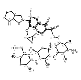 COc1c(N2CC3CCCNC3C2)c(F)cc2c(=O)c(C(=O)OC[C@H]3O[C@H](O[C@@H]4[C@@H](O)[C@H](O[C@H]5O[C@H](CN)[C@@H](O)C[C@H]5N)[C@@H](N)C[C@H]4N)[C@H](O)[C@@H](N)[C@@H]3O)cn(C3CC3)c12